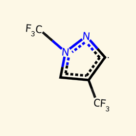 FC(F)(F)c1[c]nn(C(F)(F)F)c1